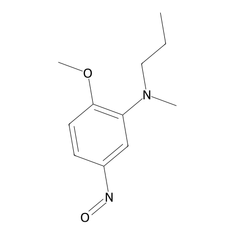 CCCN(C)c1cc(N=O)ccc1OC